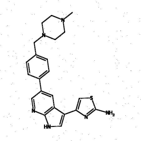 CN1CCN(Cc2ccc(-c3cnc4[nH]cc(-c5csc(N)n5)c4c3)cc2)CC1